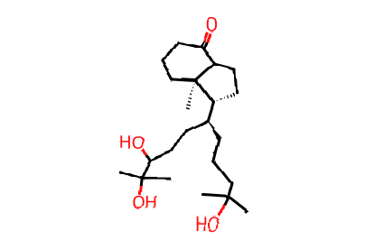 CC(C)(O)CCC[C@@H](CCC(O)C(C)(C)O)[C@H]1CCC2C(=O)CCC[C@@]21C